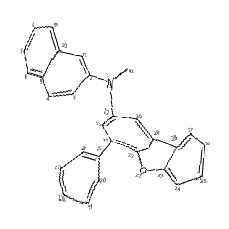 CN(c1ccc2ccccc2c1)c1cc(-c2ccccc2)c2oc3ccccc3c2c1